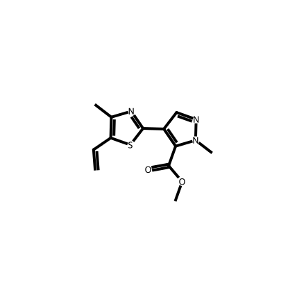 C=Cc1sc(-c2cnn(C)c2C(=O)OC)nc1C